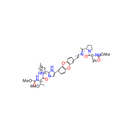 COC(=O)N[C@H](C(=O)N1CCCC1/C(C)=N/C=C/c1ccc2c(c1)Oc1ccc(-c3cnc([C@H](C[SiH](C)C)NC(=O)[C@@H](NC(=O)OC)C(C)OC)[nH]3)cc1O2)C(C)C